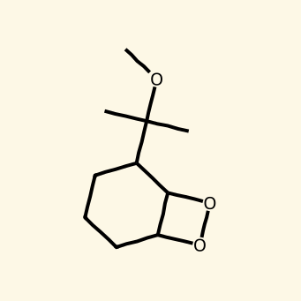 COC(C)(C)C1CCCC2OOC21